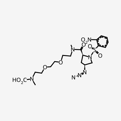 CN(CCOCCOCCN(C)C(=O)[C@@H]1C[C@H](N=[N+]=[N-])CN1S(=O)(=O)c1ccccc1[N+](=O)[O-])C(=O)O